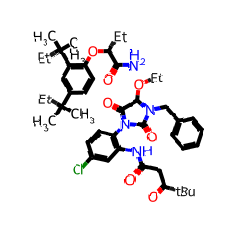 CCC(Oc1ccc(C(C)(C)CC)cc1C(C)(C)CC)C(N)=O.CCOC1C(=O)N(c2ccc(Cl)cc2NC(=O)CC(=O)C(C)(C)C)C(=O)N1Cc1ccccc1